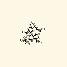 C/N=C\C=C1\CCOc2ccc(-c3c([C@H](OC(C)(C)C)C(=O)O)c(C)cc4c(N)cccc34)cc21